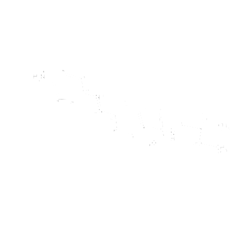 COC(CNS(=O)(=O)c1ccc(/N=N/c2ccc(N)cc2)cc1)OC